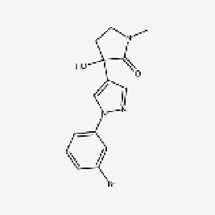 CN1CCC(O)(c2cnn(-c3cccc(Br)c3)c2)C1=O